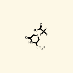 O=C(O)C(F)(F)F.O=C1CSCC(C(=O)O)N1